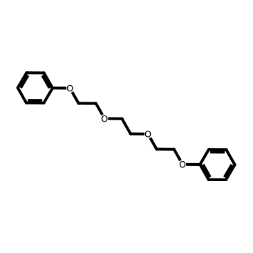 c1ccc(OCCOCCOCCOc2ccccc2)cc1